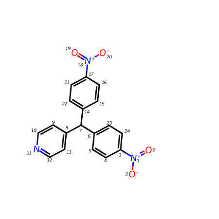 O=[N+]([O-])c1ccc(C(c2ccncc2)c2ccc([N+](=O)[O-])cc2)cc1